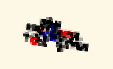 C=CCOC1(C)CCN(c2c(C(OC(C)(C)C)C(=O)O)c(C)nc3cc(-c4cccc(-c5cc(C#N)ccc5O)c4)nn23)CC1